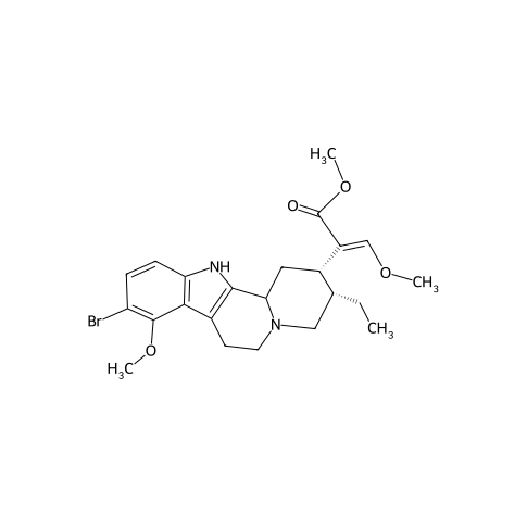 CC[C@@H]1CN2CCc3c([nH]c4ccc(Br)c(OC)c34)C2C[C@@H]1/C(=C\OC)C(=O)OC